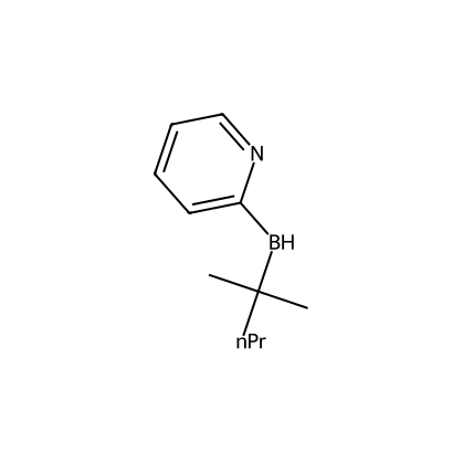 CCCC(C)(C)Bc1ccccn1